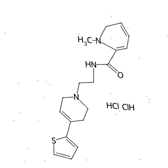 CN1CC=CC=C1C(=O)NCCN1CC=C(c2cccs2)CC1.Cl.Cl